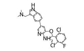 CC(Oc1cc(-c2ccc3[nH]cc(CN(C)C)c3c2)cnc1N)c1c(Cl)ccc(F)c1Cl